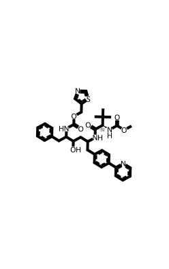 COC(=O)N[C@H](C(=O)NC(Cc1ccc(-c2ccccn2)cc1)CC(O)C(Cc1ccccc1)NC(=O)OCc1cncs1)C(C)(C)C